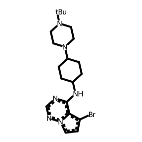 CC(C)(C)N1CCN(C2CCC(Nc3ncnn4ccc(Br)c34)CC2)CC1